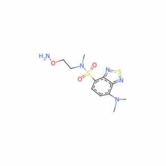 CN(C)c1ccc(S(=O)(=O)N(C)CCON)c2nsnc12